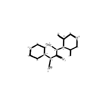 CCCN(C(=O)N([C]=O)N1C(C)COCC1C)N1CCOCC1